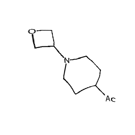 CC(=O)C1CCN(C2COC2)CC1